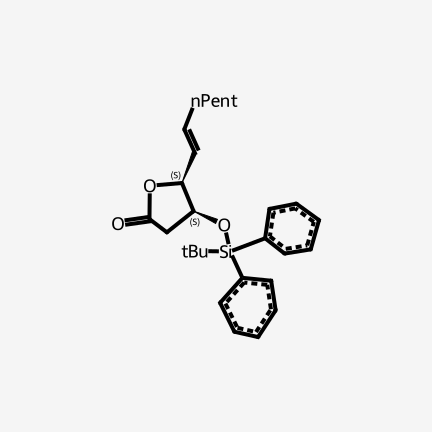 CCCCCC=C[C@@H]1OC(=O)C[C@@H]1O[Si](c1ccccc1)(c1ccccc1)C(C)(C)C